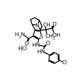 CC(C)(CN1C2CCC1c1c(sc(NC(=O)Nc3ccc(Cl)cc3)c1C(N)=O)C2)C(=O)O.Cl